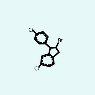 Clc1ccc(C2c3cc(Cl)ccc3CC2Br)cc1